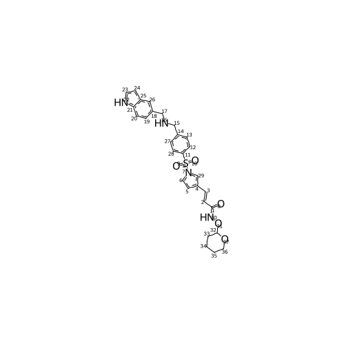 O=C(C=Cc1ccn(S(=O)(=O)c2ccc(CNCc3ccc4[nH]ccc4c3)cc2)c1)NOC1CCCCO1